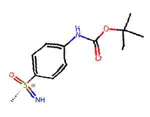 CC(C)(C)OC(=O)Nc1ccc([S@@](C)(=N)=O)cc1